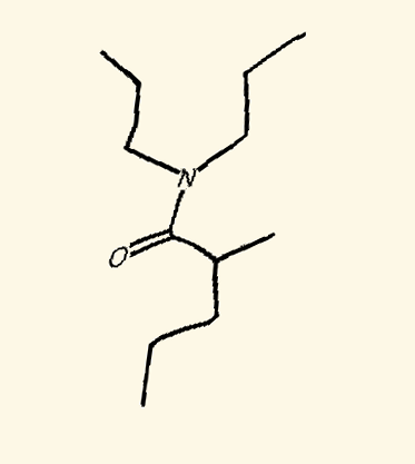 CCCC(C)C(=O)N(CCC)CCC